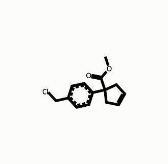 COC(=O)C1(c2ccc(CCl)cc2)CC=CC1